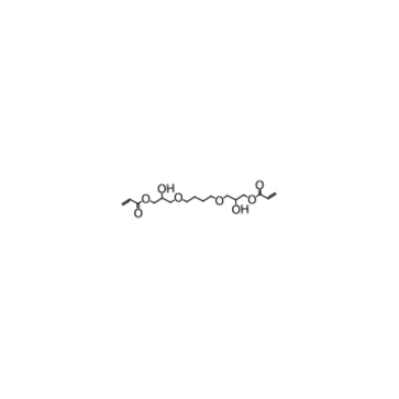 C=CC(=O)OCC(O)COCCCCOCC(O)COC(=O)C=C